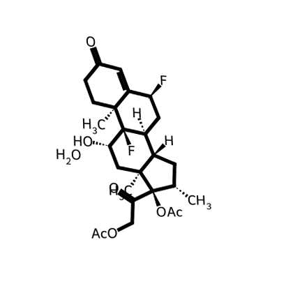 CC(=O)OCC(=O)[C@@]1(OC(C)=O)[C@@H](C)C[C@H]2[C@@H]3C[C@H](F)C4=CC(=O)CC[C@]4(C)[C@@]3(F)[C@@H](O)C[C@@]21C.O